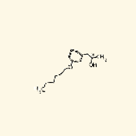 CCCCCCOc1cccc(C[C@@H](C)O)c1